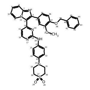 COc1cc(-c2nc3ccccn3c2-c2ccnc(Nc3ccc(N4CCS(=O)(=O)CC4)cc3)n2)ccc1OCc1ccccc1